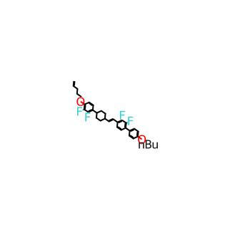 C=CCCCOc1ccc(C2CCC(/C=C/c3ccc(-c4ccc(OCCCC)cc4)c(F)c3F)CC2)c(F)c1F